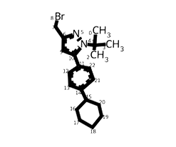 CC(C)(C)n1nc(CBr)cc1-c1ccc(C2CCCCC2)cc1